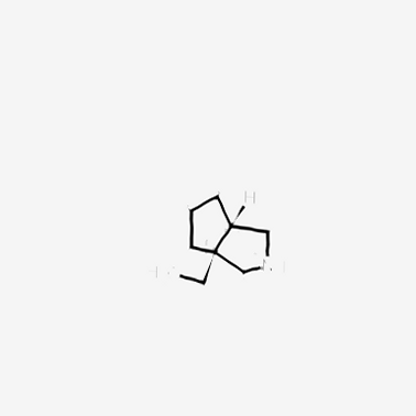 CC[C@@]12CCC[C@@H]1CNC2